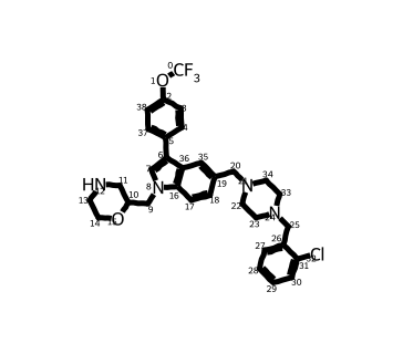 FC(F)(F)Oc1ccc(-c2cn(CC3CNCCO3)c3ccc(CN4CCN(Cc5ccccc5Cl)CC4)cc23)cc1